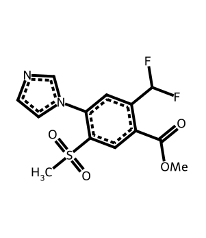 COC(=O)c1cc(S(C)(=O)=O)c(-n2ccnc2)cc1C(F)F